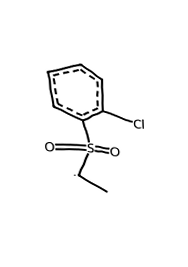 C[CH]S(=O)(=O)c1ccccc1Cl